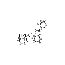 Cc1ccc(SCCCC([SiH2]c2ccccc2)[SiH2]c2ccccc2)cc1